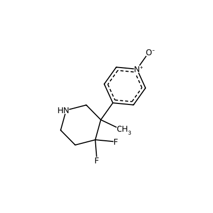 CC1(c2cc[n+]([O-])cc2)CNCCC1(F)F